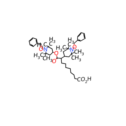 CC1(C)CC(OC(=O)C(CCCCCCCC(=O)O)C2CC(C)(C)N(OCc3ccccc3)C(C)(C)C2)CC(C)(C)N1OCc1ccccc1